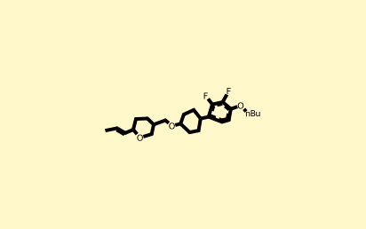 C/C=C/C1CCC(COC2CCC(c3ccc(OCCCC)c(F)c3F)CC2)CO1